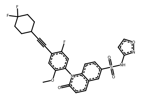 COc1cc(C#CC2CCC(F)(F)CC2)c(F)cc1-n1c(=O)ccc2cc(S(=O)(=O)Nc3ccon3)ccc21